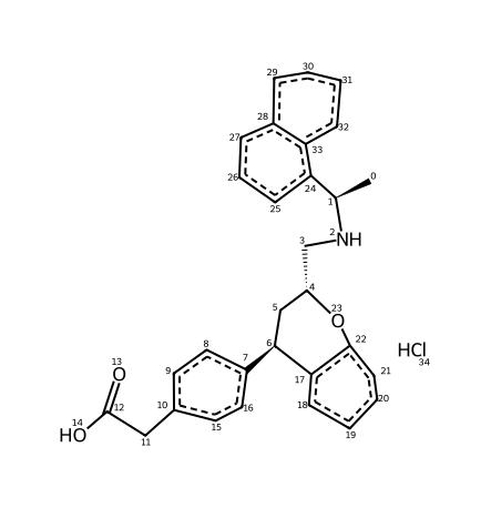 C[C@@H](NC[C@H]1C[C@H](c2ccc(CC(=O)O)cc2)c2ccccc2O1)c1cccc2ccccc12.Cl